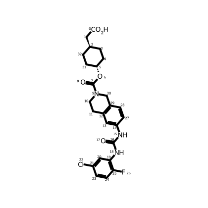 O=C(O)C[C@H]1CC[C@H](OC(=O)N2CCc3cc(NC(=O)Nc4cc(Cl)ccc4F)ccc3C2)CC1